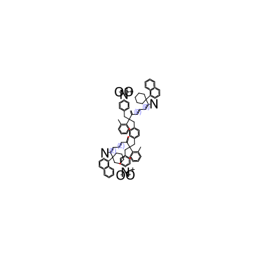 C=C(/C=C/C=C1/N(C)c2ccc3ccccc3c2C12CCCCC2)C(Cc1ccc(CC(Cc2ccc([N+](=O)[O-])cc2)(C(=C)/C=C/C=C2/N(C)c3ccc4ccccc4c3C23CCCCC3)c2ccccc2C)cc1)(Cc1ccc([N+](=O)[O-])cc1)c1ccccc1C